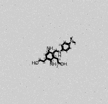 CN(C)c1ccc(NCc2c(N)cc(CCO)c(N)c2CCO)cc1